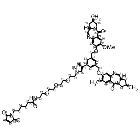 C=C1C[C@H]2C=Nc3cc(OCc4cc(COc5cc6c(cc5OC)C(=O)N5CC(=C)C[C@H]5C=N6)cc(-c5cn(CCOCCOCCOCCNC(=O)CCCCCN6C(=O)C=CC6=O)nn5)c4)c(C)cc3C(=O)N2C1